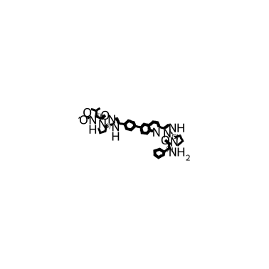 COC(=O)N[C@H](C(=O)N1CCC[C@H]1c1ncc(-c2ccc(-c3ccc4nc(-c5c[nH]c([C@@H]6CCCN6C(=O)[C@H](N)c6ccccc6)n5)ccc4c3)cc2)[nH]1)C(C)C